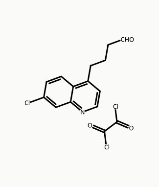 O=C(Cl)C(=O)Cl.O=CCCCc1ccnc2cc(Cl)ccc12